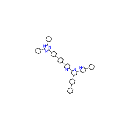 c1ccc(-c2ccc(-c3cc(-c4ccc(-c5ccccc5)cn4)nc(-c4ccc(-c5ccc(-c6ccc(-c7nc(-c8ccccc8)nc(-c8ccccc8)n7)cc6)cc5)cn4)c3)cc2)cc1